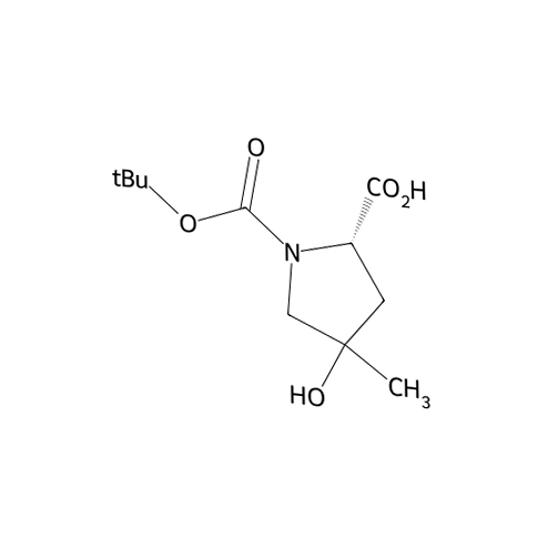 CC1(O)C[C@@H](C(=O)O)N(C(=O)OC(C)(C)C)C1